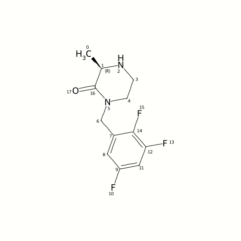 C[C@H]1NCCN(Cc2cc(F)cc(F)c2F)C1=O